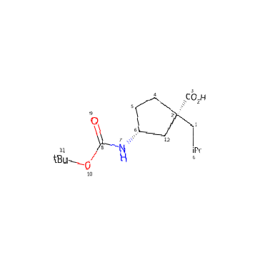 CC(C)C[C@]1(C(=O)O)CC[C@@H](NC(=O)OC(C)(C)C)C1